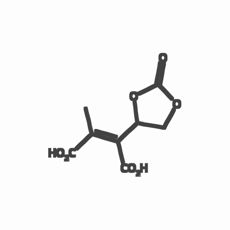 C/C(C(=O)O)=C(/C(=O)O)C1COC(=O)O1